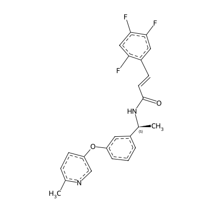 Cc1ccc(Oc2cccc([C@H](C)NC(=O)C=Cc3cc(F)c(F)cc3F)c2)cn1